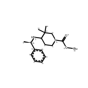 C[C@@H](NC1CCN(C(=O)OC(C)(C)C)CC1(C)C)c1ccccc1